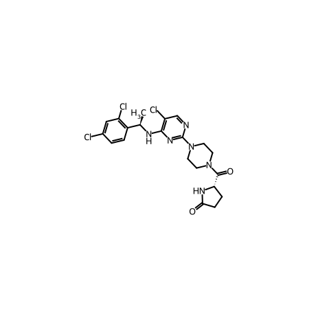 C[C@@H](Nc1nc(N2CCN(C(=O)[C@@H]3CCC(=O)N3)CC2)ncc1Cl)c1ccc(Cl)cc1Cl